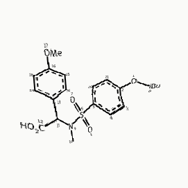 CCC(C)Oc1ccc(S(=O)(=O)N(C)C(C(=O)O)c2ccc(OC)cc2)cc1